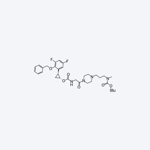 CN(CCCN1CCN(C(=O)CNC(=O)O[C@@H]2C[C@H]2c2cc(F)cc(F)c2OCc2ccccc2)CC1)C(=O)OC(C)(C)C